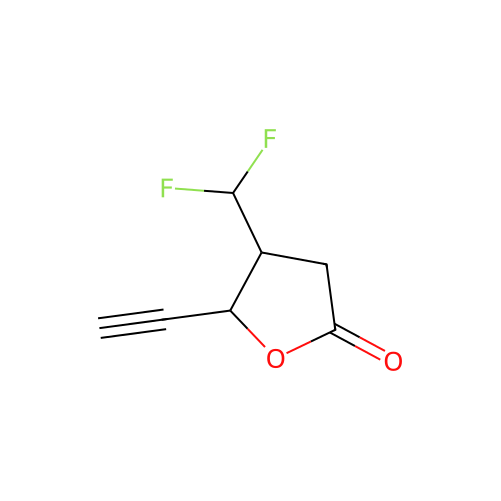 C#CC1OC(=O)CC1C(F)F